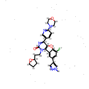 Cn1cc(-c2cc(F)c3oc4c(-c5ccc(N6CCOCC6)nc5)nc(=O)n(CCC5CCCO5)c4c3c2)cn1